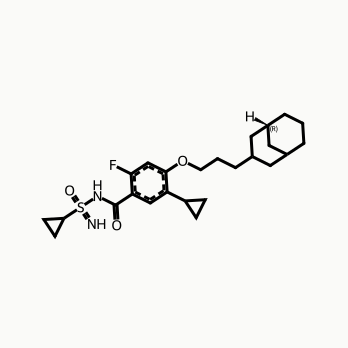 N=S(=O)(NC(=O)c1cc(C2CC2)c(OCCCC2CC3CCC[C@@H](C2)C3)cc1F)C1CC1